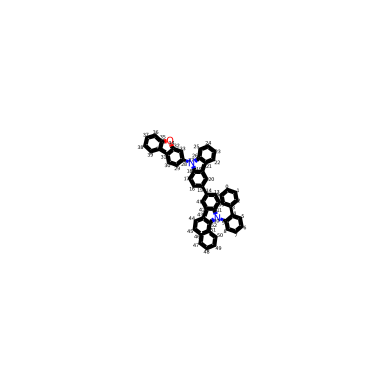 c1ccc(-c2ccccc2-n2c3ccc(-c4ccc5c(c4)c4ccccc4n5-c4ccc5c(c4)oc4ccccc45)cc3c3ccc4ccccc4c32)cc1